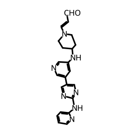 O=CC=CN1CCC(Nc2cncc(-c3cnc(Nc4ccccn4)nc3)c2)CC1